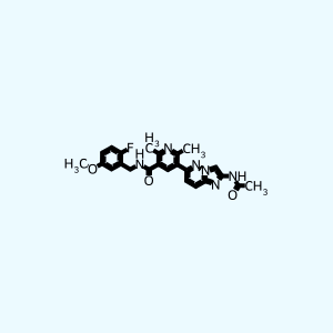 COc1ccc(F)c(CNC(=O)c2cc(-c3ccc4nc(NC(C)=O)cn4n3)c(C)nc2C)c1